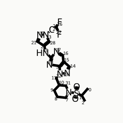 CC(C)S(=O)(=O)N1CCCC(Cn2ncc3cnc(Nc4cnn(CC(F)F)c4)nc32)C1